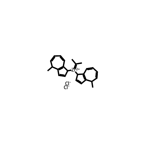 C[C](C)=[Zr+2]([CH]1C=CC2=C1C=CC=CC2C)[CH]1C=CC2=C1C=CC=CC2C.[Cl-].[Cl-]